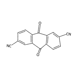 N#Cc1ccc2c(c1)C(=O)c1ccc(C#N)cc1C2=O